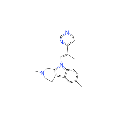 CC(=Cn1c2c(c3cc(C)ccc31)CCN(C)C2)c1ccncn1